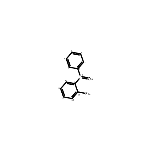 O=[P](c1ccccc1)c1ccccc1F